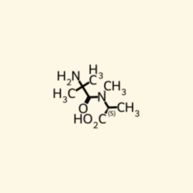 C[C@@H](C(=O)O)N(C)C(=O)C(C)(C)N